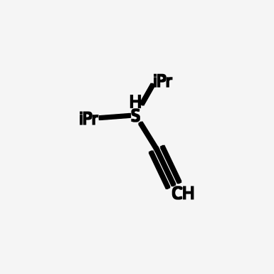 C#C[SH](C(C)C)C(C)C